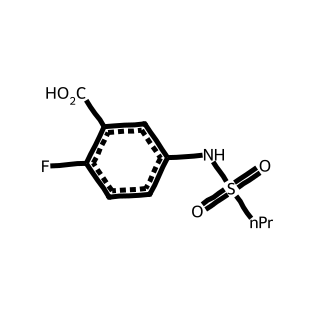 CCCS(=O)(=O)Nc1ccc(F)c(C(=O)O)c1